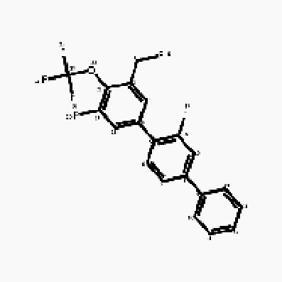 FCc1cc(-c2ccc(-c3ccccc3)cc2F)cc(F)c1OC(F)(F)F